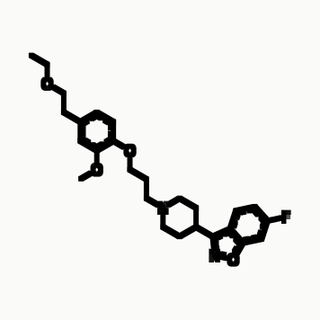 CCOCCc1ccc(OCCCN2CCC(c3noc4cc(F)ccc34)CC2)c(OC)c1